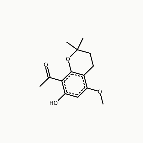 COc1cc(O)c(C(C)=O)c2c1CCC(C)(C)O2